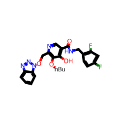 CCCCOc1c(COn2nnc3ccccc32)ncc(C(=O)NCc2ccc(F)cc2F)c1O